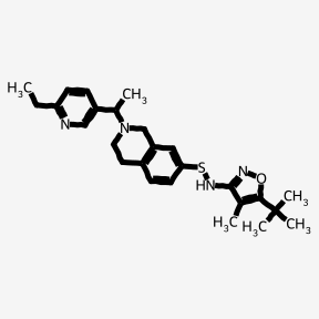 CCc1ccc(C(C)N2CCc3ccc(SNc4noc(C(C)(C)C)c4C)cc3C2)cn1